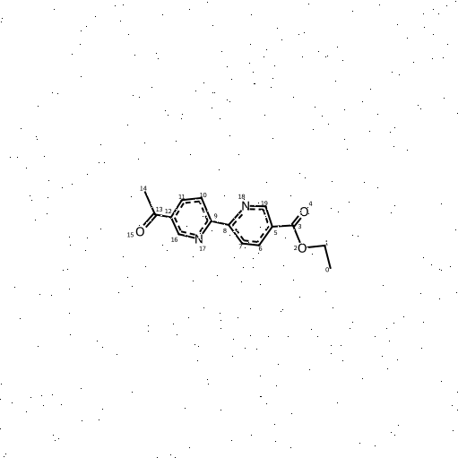 CCOC(=O)c1ccc(-c2ccc(C(C)=O)cn2)nc1